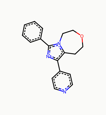 c1ccc(-c2nc(-c3ccncc3)c3n2CCOCC3)cc1